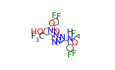 O=C([C@@H]1CCC(F)(F)CO1)N1CC[C@@](O)(C(F)(F)F)C[C@@H]1c1cnn2cc([C@@H](NC(=O)C3(F)CC3)C3CCC(F)(F)CC3)nc2n1